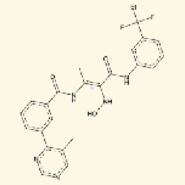 CCC(F)(F)c1cccc(NC(=O)/C(NO)=C(\C)NC(=O)c2cccc(-c3ncncc3C)c2)c1